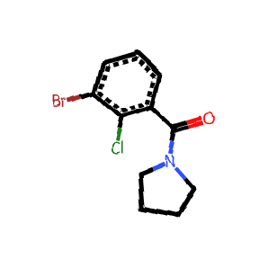 O=C(c1cccc(Br)c1Cl)N1CCCC1